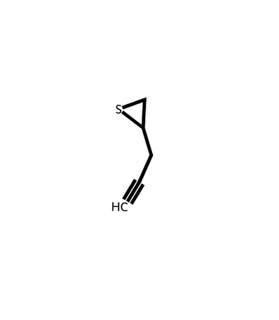 C#CCC1CS1